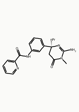 CCC[C@@]1(c2cccc(NC(=O)c3ccccn3)c2)CC(=O)N(C)C(N)=N1